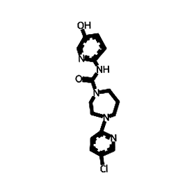 O=C(Nc1ccc(O)cn1)N1CCCN(c2ccc(Cl)cn2)CC1